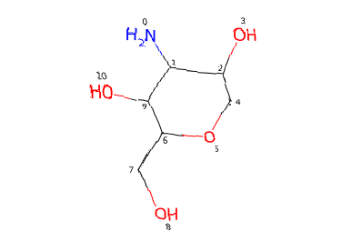 NC1C(O)[CH]OC(CO)C1O